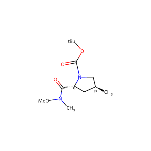 CON(C)C(=O)[C@H]1C[C@H](C)CN1C(=O)OC(C)(C)C